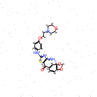 Nc1nc(Nc2ccc(OCCN3CCOCC3)cc2)sc1C(=O)c1ccc2c(c1)OCO2